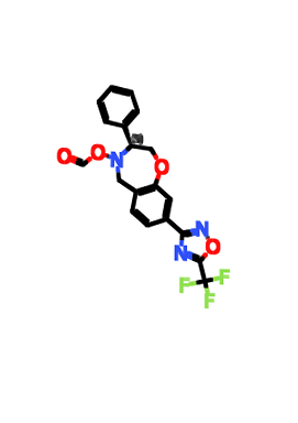 O=CON1Cc2ccc(-c3noc(C(F)(F)F)n3)cc2OC[C@@H]1c1ccccc1